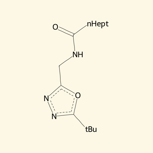 CCCCCCCC(=O)NCc1nnc(C(C)(C)C)o1